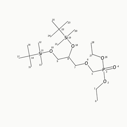 CCOP(=O)(COCC(CO[Si](C)(C)C(C)(C)C)O[Si](C)(C)C(C)(C)C)OCC